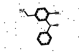 CCc1ccc(O)c([S@@+]([O-])c2ccccc2)c1